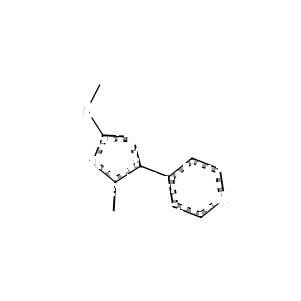 CNc1nc(C)c(-c2ccncc2)s1